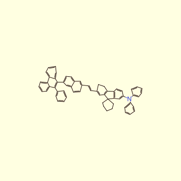 C1=C(/C=C/c2ccc3cc(-c4c(-c5ccccc5)c5ccccc5c5ccccc45)ccc3c2)CCC2=C1C1(CCCCC1)c1cc(N(c3ccccc3)c3ccccc3)ccc12